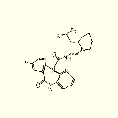 CCN(CC)CC1CCCCN1CCNC(=O)N1c2ccc(F)cc2C(=O)Nc2cccnc21